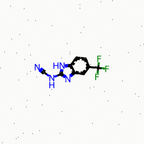 N#CNc1nc2cc(C(F)(F)F)ccc2[nH]1